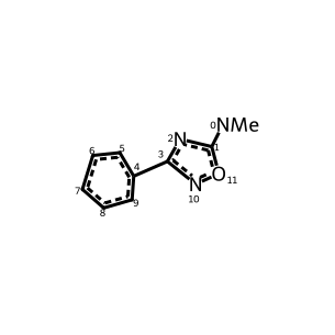 CNc1nc(-c2ccccc2)no1